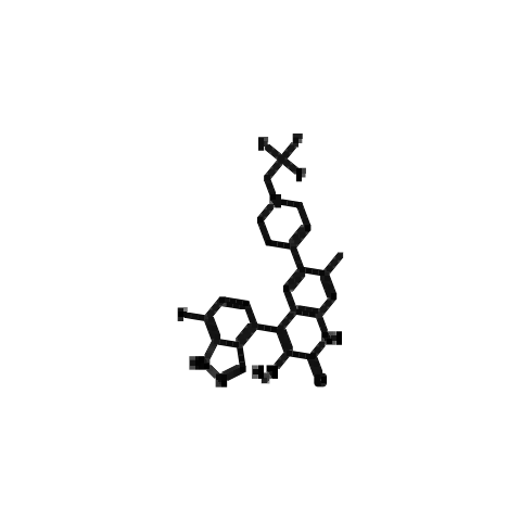 Cc1cc2[nH]c(=O)c(N)c(-c3ccc(F)c4[nH]ncc34)c2cc1C1=CCN(CC(F)(F)F)CC1